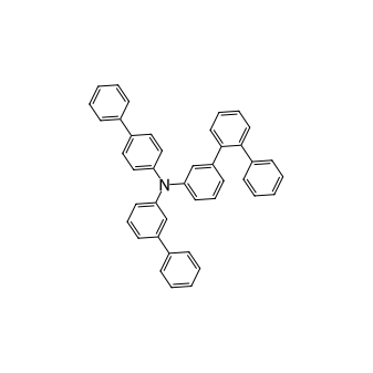 c1ccc(-c2ccc(N(c3cccc(-c4ccccc4)c3)c3cccc(-c4ccccc4-c4ccccc4)c3)cc2)cc1